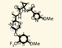 C=C(/N=C\C(=C/N)Oc1ccc(OC)cc1C(F)(F)F)C(C)NC(=O)C1(NC(=O)c2cc(OC)no2)CC1